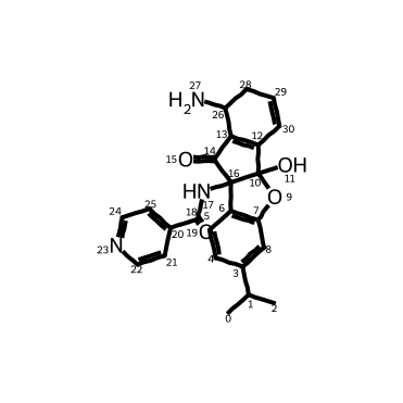 CC(C)c1ccc2c(c1)OC1(O)C3=C(C(=O)C21NC(=O)c1ccncc1)C(N)CC=C3